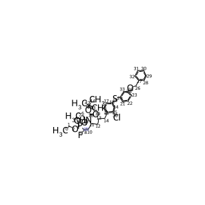 CCOP(=O)(OCC)/C(F)=C\C(CCCc1ccc(Sc2cccc(OCc3ccccc3)c2)cc1Cl)NC(=O)OC(C)(C)C